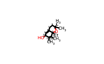 CCC12OC(C)(C)CCC1=CC(O)C(C)=C2C